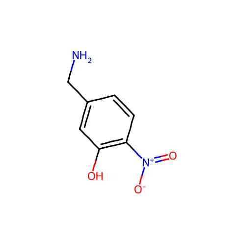 NCc1ccc([N+](=O)[O-])c(O)c1